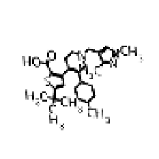 Cc1nn(C)cc1CN1CCC(c2cc(C(C)(C)C)sc2C(=O)O)=C(C2CCC(C)CC2)C1